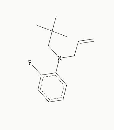 C=CCN(CC(C)(C)C)c1ccccc1F